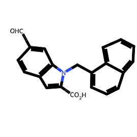 O=Cc1ccc2cc(C(=O)O)n(Cc3cccc4ccccc34)c2c1